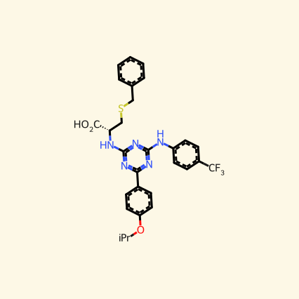 CC(C)Oc1ccc(-c2nc(Nc3ccc(C(F)(F)F)cc3)nc(N[C@@H](CSCc3ccccc3)C(=O)O)n2)cc1